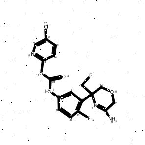 NC1=NC(CF)(c2cc(NC(=O)Oc3ccc(Cl)cn3)ccc2F)COC1